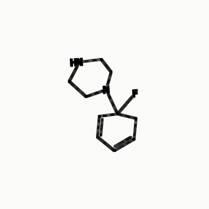 FC1(N2CCNCC2)C=CC=CC1